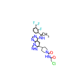 C[C@@H](Nc1ncnc2c1cc(C1CCN(C(=O)NC(=O)CCl)CC1)c1nncn12)c1cccc(C(F)F)c1F